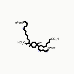 CCCCC/C=C\C/C=C\CCCCCC(CC(=O)O)C1(C)CCC(C(C)C)(C(/C=C\C/C=C\CCCCC)CCCCCCC(=O)O)CC1